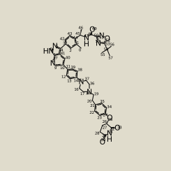 Cc1cc(-c2n[nH]c3ncc(-c4ccc(N5CCN(CCc6ccc(OC7CCC(=O)NC7=O)cc6)CC5)cc4)cc23)ccc1[C@@H](C)NC(=O)c1noc(C(C)(C)C)n1